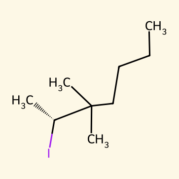 CCCCC(C)(C)[C@@H](C)I